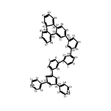 c1cc(-c2cccc(-c3cc(-c4ccncc4)cc(-c4ccncc4)c3)c2)cc(-c2cccc(-c3ccc4c5ccccc5c5ccccc5c4c3)c2)c1